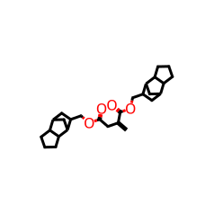 C=C(CC(=O)OCC1CC2CC1C1CCCC21)C(=O)OCC1CC2CC1C1CCCC21